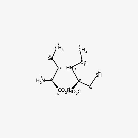 C[Se]C[C@H](N)C(=O)O.C[Se]N[C@@H](CS)C(=O)O